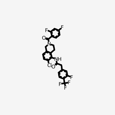 O=C(Cc1ccc(C(F)(F)F)c(F)c1)Nc1c(Cl)ccc2c1CCN(C(=O)c1ccc(F)cc1F)C2